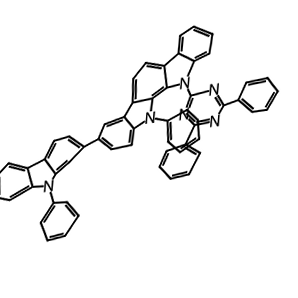 c1ccc(-c2nc(-c3ccccc3)nc(-n3c4ccccc4c4ccc5c6cc(-c7ccc8c9ccccc9n(-c9ccccc9)c8c7)ccc6n(-c6ccccc6)c5c43)n2)cc1